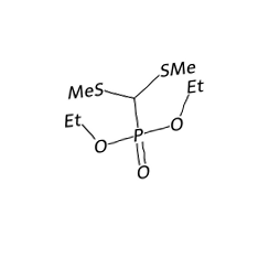 CCOP(=O)(OCC)C(SC)SC